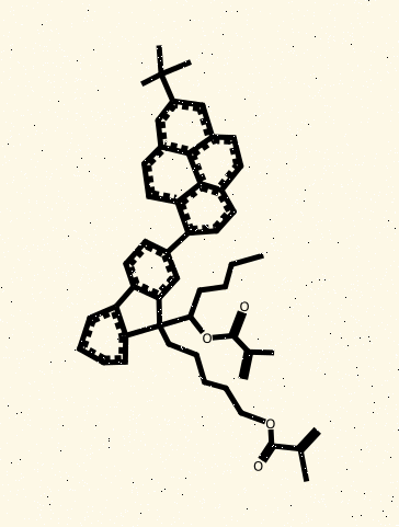 C=C(C)C(=O)OCCCCCC1(C(CCCC)OC(=O)C(=C)C)c2ccccc2-c2ccc(-c3ccc4ccc5cc(C(C)(C)C)cc6ccc3c4c56)cc21